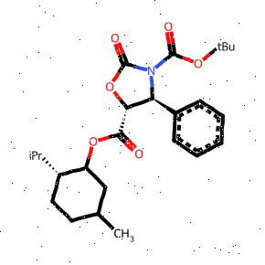 CC1CC[C@H](C(C)C)C(OC(=O)[C@@H]2OC(=O)N(C(=O)OC(C)(C)C)[C@H]2c2ccccc2)C1